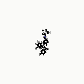 CC(c1ccc(F)cc1)N(Cc1ccc(/C=C/C(=O)NO)cc1)S(=O)(=O)c1c(F)c(F)c(F)c(F)c1F